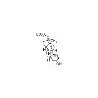 CCOC(=O)O[C@H]1CC[C@H]2[C@@H]3CC[C@H]4CC(O)C=C[C@@H]4[C@H]3CC[C@]12C